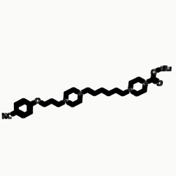 CC(C)(C)OC(=O)N1CCN(CCCCCCN2CCN(CCCOc3ccc(C#N)cc3)CC2)CC1